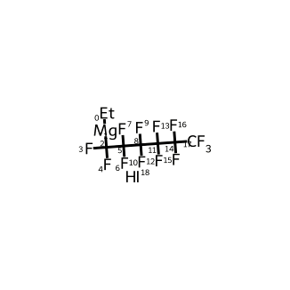 C[CH2][Mg][C](F)(F)C(F)(F)C(F)(F)C(F)(F)C(F)(F)C(F)(F)F.I